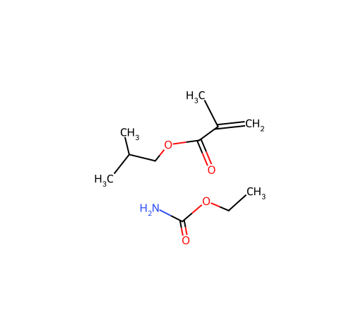 C=C(C)C(=O)OCC(C)C.CCOC(N)=O